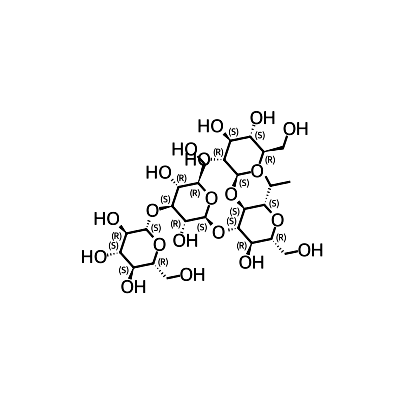 CC(C)[C@@H]1O[C@H](CO)[C@@H](O)[C@H](O[C@@H]2O[C@H](CO)[C@@H](O)[C@H](O[C@@H]3O[C@H](CO)[C@@H](O)[C@H](O)[C@H]3O)[C@H]2O)[C@H]1O[C@@H]1O[C@H](CO)[C@@H](O)[C@H](O)[C@H]1O